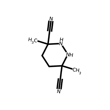 CC1(C#N)CCC(C)(C#N)NN1